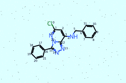 Clc1cc(NCc2ccccc2)c2nnc(-c3ccccc3)n2n1